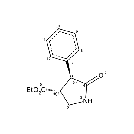 CCOC(=O)[C@H]1CNC(=O)[C@@H]1c1ccccc1